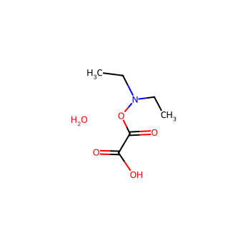 CCN(CC)OC(=O)C(=O)O.O